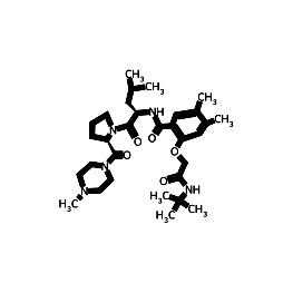 Cc1cc(OCC(=O)NC(C)(C)C)c(C(=O)N[C@H](CC(C)C)C(=O)N2CCC[C@@H]2C(=O)N2CCN(C)CC2)cc1C